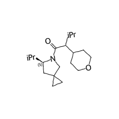 CC(C)C(C(=O)N1CC2(CC2)C[C@H]1C(C)C)C1CCOCC1